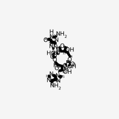 Nc1nc2c(ncn2[C@@H]2OC[C@@]3(O)CCOP(=O)(O)O[C@H]4[C@@H](O)[C@H](n5cnc6c(N)ncnc65)O[C@@H]4COP(=O)(O)O[C@@H]23)c(=O)[nH]1